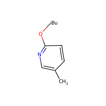 CCC(C)Oc1ccc(C)cn1